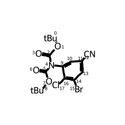 CC(C)(C)OC(=O)N(C(=O)OC(C)(C)C)c1cc(C#N)cc(Br)c1Cl